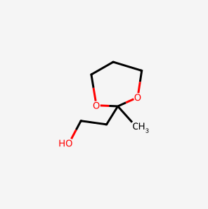 CC1(CCO)OCCCO1